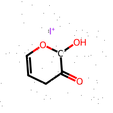 O=C1CC=CO[C-]1O.[I+]